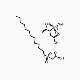 CCCCCCCCCCCCOS(=O)(=O)CC(=O)O.O=C(O)CC(C(=O)O)S(=O)(=O)O.[NaH]